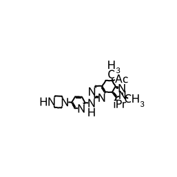 CC(=O)C1(C)Cc2cnc(Nc3ccc(N4CCNCC4)cn3)nc2-c2c1nn(C)c2C(C)C